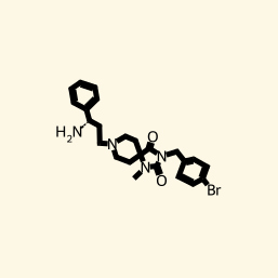 CN1C(=O)N(Cc2ccc(Br)cc2)C(=O)C12CCN(CC[C@H](N)c1ccccc1)CC2